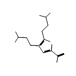 CC(C)CCc1cc(C(=O)O)oc1CCC(C)C